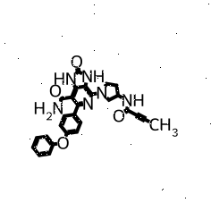 CC#CC(=O)NC1CCN(c2nc(-c3ccc(Oc4ccccc4)cc3)c(C(N)=O)c3[nH]c(=O)[nH]c23)C1